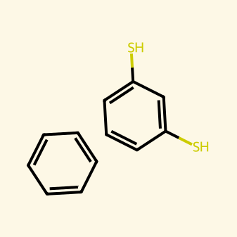 Sc1cccc(S)c1.c1ccccc1